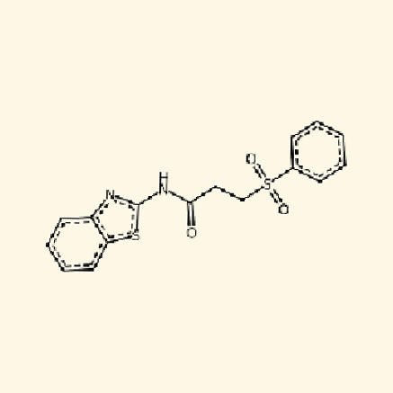 O=C(CCS(=O)(=O)c1ccccc1)Nc1nc2ccccc2s1